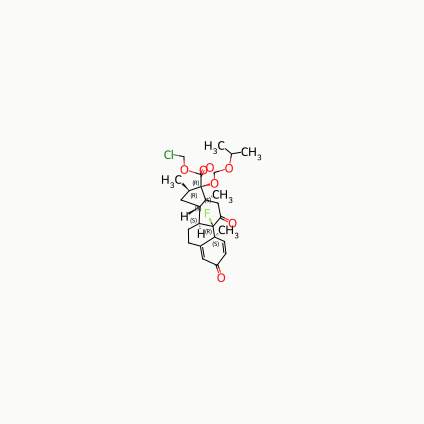 CC(C)OC(=O)O[C@]1(C(=O)OCCl)[C@H](C)C[C@H]2[C@@H]3CCC4=CC(=O)C=C[C@]4(C)[C@@]3(F)C(=O)C[C@@]21C